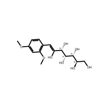 COc1ccc(C=C(O)[C@H](O)[C@@H](O)[C@H](O)[C@H](O)CO)c(OC)c1